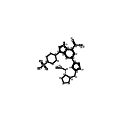 CCS(=O)(=O)N1CCC(c2c[nH]c3c(C(N)=O)cc(-c4csc(CN5CCC[C@@H]5COC)c4)cc23)CC1